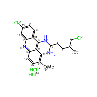 CCC(CCl)CCC(N)Nc1c2ccc(Cl)cc2nc2ccc(OC)cc12.Cl.Cl